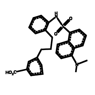 CN(C)c1cccc2c(S(=O)(=O)Nc3ccccc3CCCc3cccc(C(=O)O)c3)cccc12